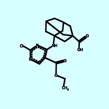 CCOC(=O)c1cnc(Cl)nc1NC12CC3CC(C1)CC(C(=O)O)(C3)C2